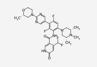 C[C@@H]1CN(c2cc(F)c(-c3cnc(N4CCO[C@@H](C)C4)nc3)c(F)c2NC(=O)c2c[nH]c(=O)cc2C(F)F)C[C@H](C)N1C